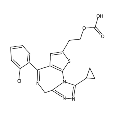 O=C(O)OCCc1cc2c(s1)-n1c(nnc1C1CC1)CN=C2c1ccccc1Cl